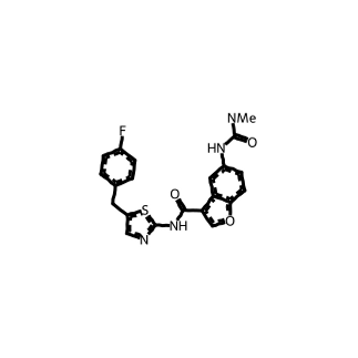 CNC(=O)Nc1ccc2occ(C(=O)Nc3ncc(Cc4ccc(F)cc4)s3)c2c1